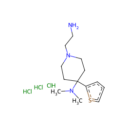 CN(C)C1(c2cccs2)CCN(CCN)CC1.Cl.Cl.Cl